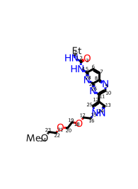 CCNC(=O)Nc1ccc2ncc(-c3cnn(CCOCCOCCOC)c3)nc2n1